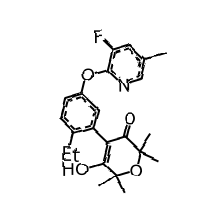 CCc1ccc(Oc2ncc(C)cc2F)cc1C1=C(O)C(C)(C)OC(C)(C)C1=O